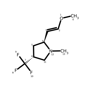 CO/C=C/[C@@H]1C[C@@H](C(F)(F)F)CN1C